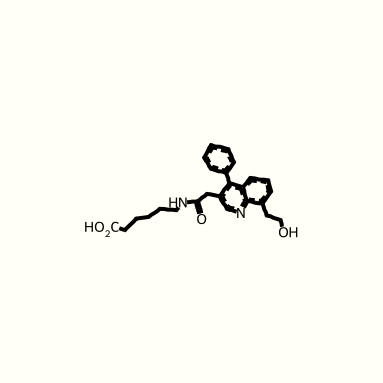 O=C(O)CCCCCNC(=O)Cc1cnc2c(CCO)cccc2c1-c1ccccc1